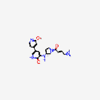 COc1cc(-c2c[nH]c(=O)c(N[C@H]3CCN(C(=O)C=CCN(C)C)C3)c2)ccn1